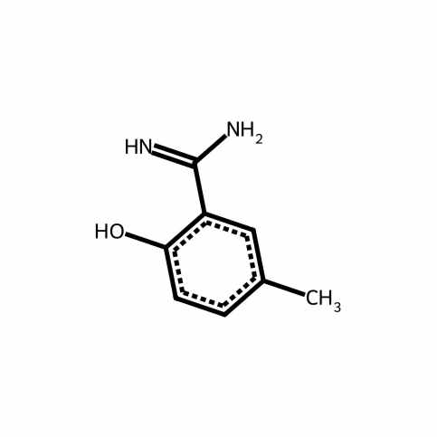 Cc1ccc(O)c(C(=N)N)c1